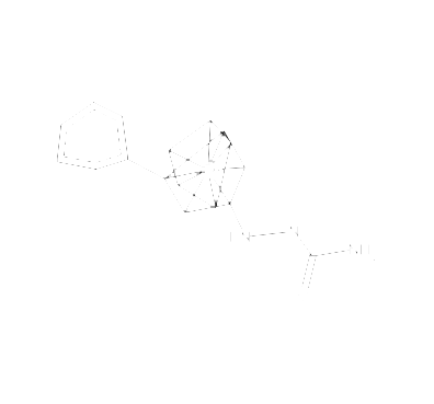 NC(=O)NN[C]12[CH]3[CH]4[C]5(c6ccccc6)[CH]1[Fe]34251678[CH]2[CH]1[CH]6[CH]7[CH]28